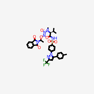 Cc1ccc(-c2cc(C(F)(F)F)nn2-c2ccc(S(=O)(=O)NC(=O)[C@H](C(C)C)N(C)/[N+]([O-])=N/OC(C)N3C(=O)c4ccccc4C3=O)cc2)cc1